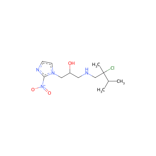 CC(C)C(C)(Cl)CNCC(O)Cn1ccnc1[N+](=O)[O-]